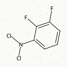 Fc1cccc(N(Cl)Cl)c1F